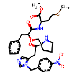 COC(=O)[C@@H](CCSC)NC(=O)C(Cc1ccccc1)OC[C@]1(C(=O)Cc2cncn2Cc2ccc([N+](=O)[O-])cc2)CCCN1